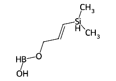 C[SiH](C)C=CCOBO